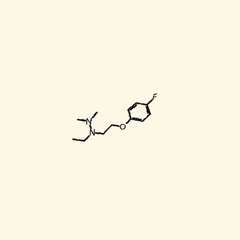 CCN(CCOc1ccc(F)cc1)N(C)C